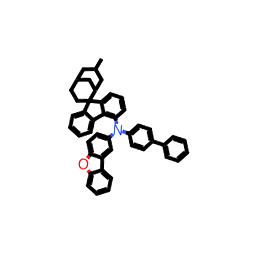 CC1CC2CCC3(c4ccccc4-c4c(N(c5ccc(-c6ccccc6)cc5)c5ccc6oc7ccccc7c6c5)cccc43)C(C1)C2